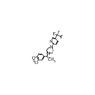 C[C@@H](c1ccc2c(c1)OCO2)N1CCN(c2ccc(C(F)(F)F)cn2)CC1